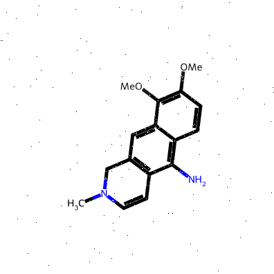 COc1ccc2c(N)c3c(cc2c1OC)CN(C)C=C3